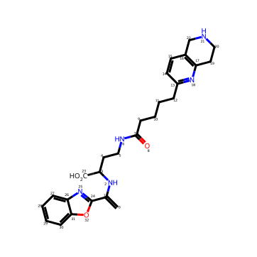 C=C(NC(CCNC(=O)CCCCc1ccc2c(n1)CCNC2)C(=O)O)c1nc2ccccc2o1